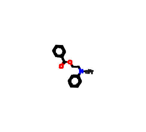 CCCN(CCOC(=O)c1ccccc1)c1ccccc1